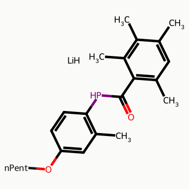 CCCCCOc1ccc(PC(=O)c2c(C)cc(C)c(C)c2C)c(C)c1.[LiH]